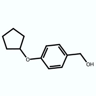 OCc1ccc(OC2CCCC2)cc1